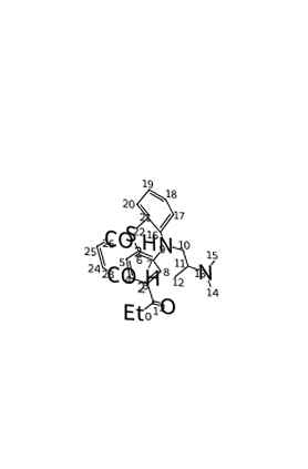 CCC(=O)c1ccc2c(c1)N(CC(C)N(C)C)c1ccccc1S2.O=C(O)/C=C\C(=O)O